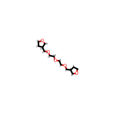 C(COCC1CCOC1)OCCOCC1CCOC1